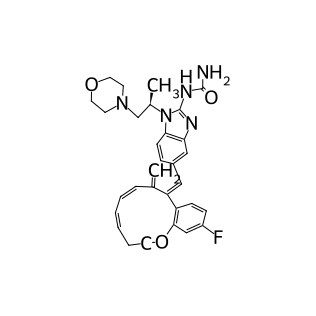 C=C1/C=C\C=C/CCOc2cc(F)ccc2/C1=C/c1ccc2c(c1)nc(NC(N)=O)n2[C@H](C)CN1CCOCC1